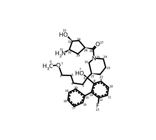 COCCCC[C@@](O)(c1cccc(F)c1-c1ccccc1)[C@@H]1CCCN(C(=O)[C@H]2C[C@@H](N)[C@@H](O)C2)C1